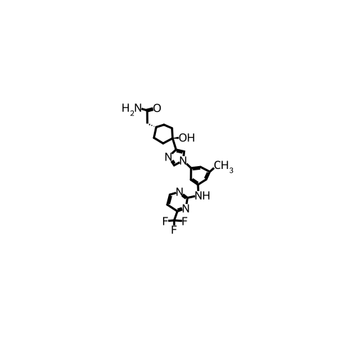 Cc1cc(Nc2nccc(C(F)(F)F)n2)cc(-n2cnc([C@]3(O)CC[C@H](CC(N)=O)CC3)c2)c1